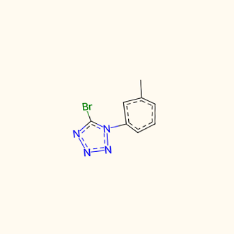 Cc1cccc(-n2nnnc2Br)c1